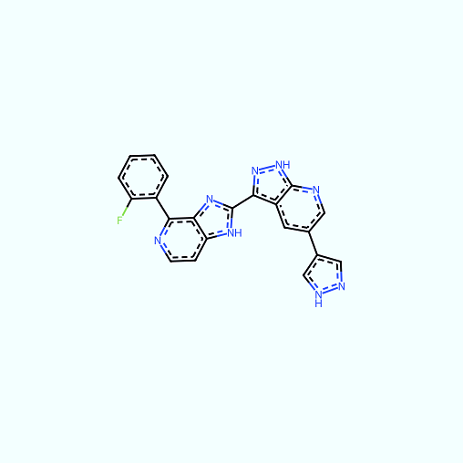 Fc1ccccc1-c1nccc2[nH]c(-c3n[nH]c4ncc(-c5cn[nH]c5)cc34)nc12